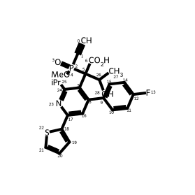 C#CP(=O)(OC)C(C(=O)O)(c1c(-c2ccc(F)cc2)cc(-c2cccs2)nc1C(C)C)C(C)O